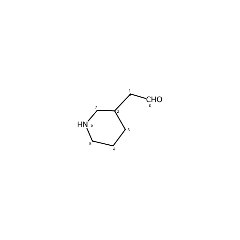 O=C[CH]C1CCCNC1